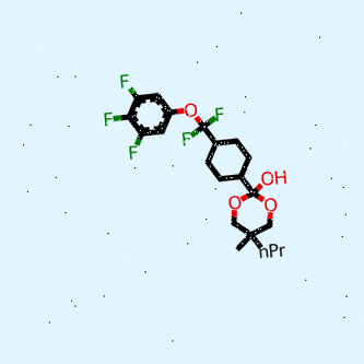 CCCC1(C)COC(O)(C2CCC(C(F)(F)Oc3cc(F)c(F)c(F)c3)CC2)OC1